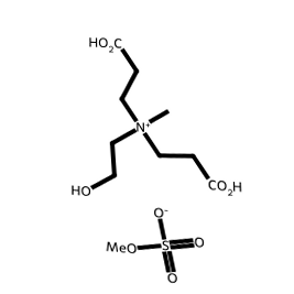 COS(=O)(=O)[O-].C[N+](CCO)(CCC(=O)O)CCC(=O)O